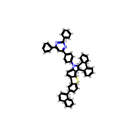 c1ccc(-c2cc(-c3ccc(-n4c5ccc6c7cc(-c8cccc9ccccc89)ccc7sc6c5c5c6ccccc6c6ccccc6c54)cc3)nc(-c3ccccc3)n2)cc1